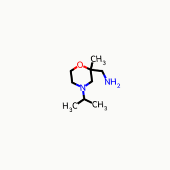 CC(C)N1CCOC(C)(CN)C1